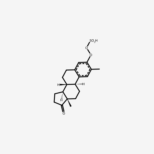 Cc1cc2c(cc1OOS(=O)(=O)O)CC[C@@H]1[C@@H]2CC[C@]2(C)C(=O)CC[C@@H]12